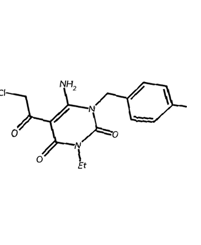 CCn1c(=O)c(C(=O)CCl)c(N)n(Cc2ccc(F)cc2)c1=O